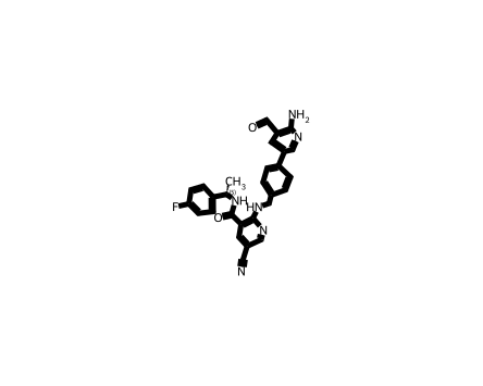 C[C@H](NC(=O)c1cc(C#N)cnc1NCc1ccc(-c2cnc(N)c(C=O)c2)cc1)c1ccc(F)cc1